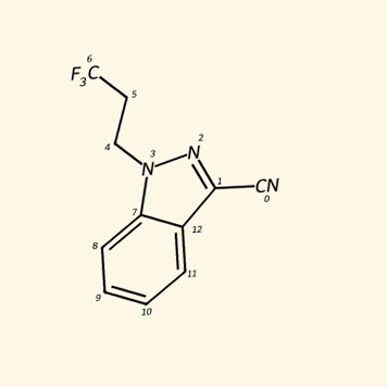 N#Cc1nn(CCC(F)(F)F)c2ccccc12